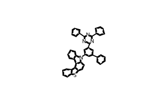 c1ccc(-c2cc(-c3nc(-c4ccccc4)nc(-c4ccccc4)n3)cc(-n3c4ccccc4c4c5c(ccc43)sc3ccccc35)c2)cc1